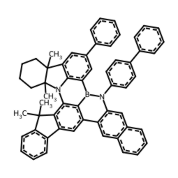 CC1(C)c2ccccc2-c2cc3c4c(c21)N1c2c(cc(-c5ccccc5)cc2C2(C)CCCCC12C)B4N(c1ccc(-c2ccccc2)cc1)c1cc2ccccc2cc1-3